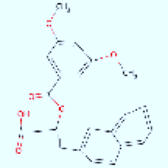 COc1cc(OC)cc(C(=O)O[C@H](Cc2ccc3ccccc3c2)C(=O)O)c1